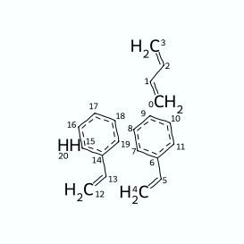 C=CC=C.C=Cc1ccccc1.C=Cc1ccccc1.[HH]